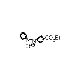 CCOC(=O)c1ccc(N(C=Nc2ccccc2)OCC)cc1